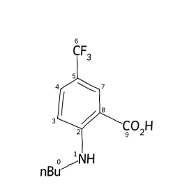 CCCCNc1ccc(C(F)(F)F)cc1C(=O)O